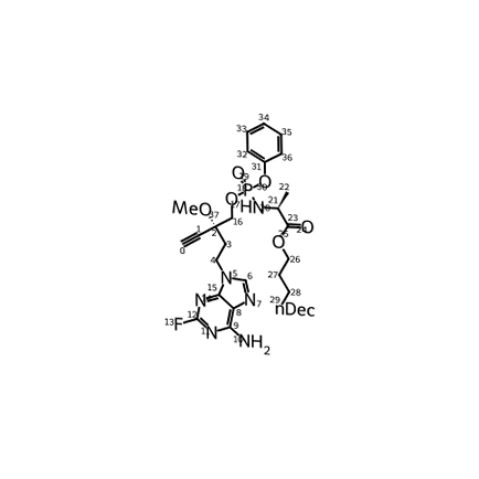 C#C[C@](CCn1cnc2c(N)nc(F)nc21)(COP(=O)(N[C@@H](C)C(=O)OCCCCCCCCCCCCC)Oc1ccccc1)OC